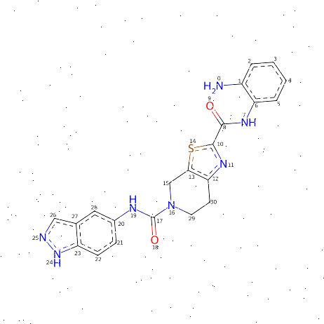 Nc1ccccc1NC(=O)c1nc2c(s1)CN(C(=O)Nc1ccc3[nH]ncc3c1)CC2